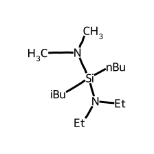 CCCC[Si](C(C)CC)(N(C)C)N(CC)CC